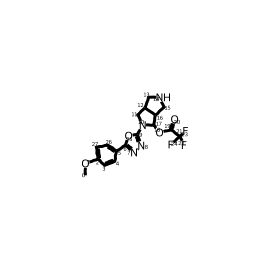 COc1ccc(-c2nnc(N3CC4CNCC4C3OC(=O)C(F)(F)F)o2)cc1